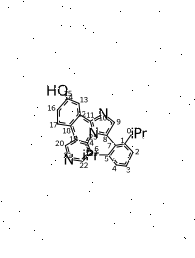 CC(C)c1cccc(C(C)C)c1-c1cnc2c3cc(O)ccc3c3cnccc3n12